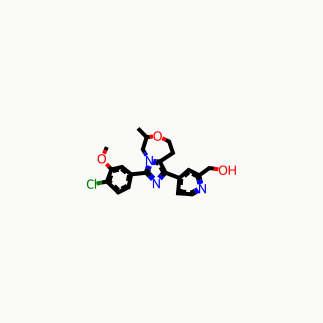 COc1cc(-c2nc(-c3ccnc(CO)c3)c3n2CC(C)OCC3)ccc1Cl